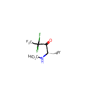 CC(C)[C@H](NC(=O)O)C(=O)C(F)(F)C(F)(F)F